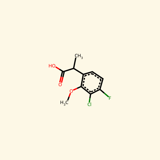 COc1c(C(C)C(=O)O)ccc(F)c1Cl